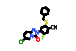 N#Cc1cc(F)c(-n2nc3ccc(Cl)cn3c2=O)cc1SCc1ccccc1